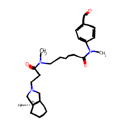 CN(CCCCC(=O)N(C)c1ccc(C=O)cc1)C(=O)CCN1CC2CCC[C@H]2C1